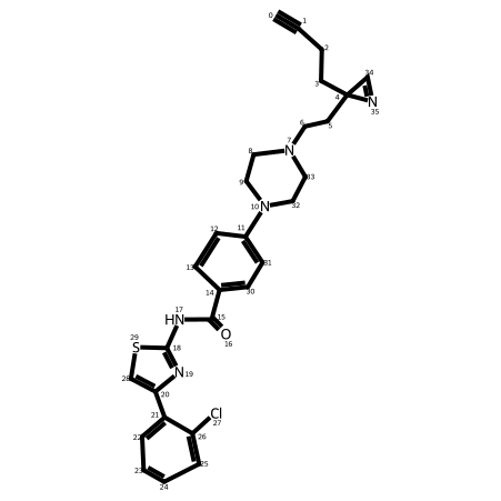 C#CCCC1(CCN2CCN(c3ccc(C(=O)Nc4nc(-c5ccccc5Cl)cs4)cc3)CC2)C=N1